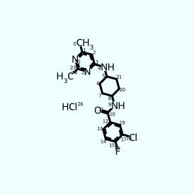 Cc1cc(NC2CCC(NC(=O)c3ccc(F)c(Cl)c3)CC2)nc(C)n1.Cl